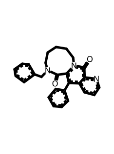 O=C1c2c(-c3ccccc3)c3cccnc3c(=O)n2CCCCCN1Cc1ccccc1